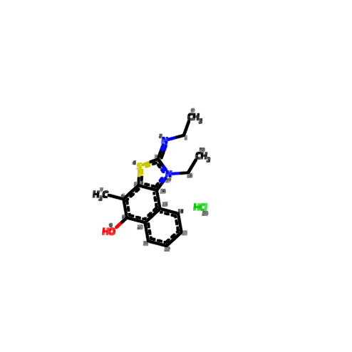 CCN=c1sc2c(C)c(O)c3ccccc3c2n1CC.Cl